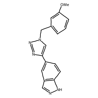 COc1cccc(Cn2cc(-c3ccc4[nH]ncc4c3)nn2)c1